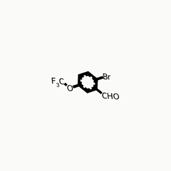 O=Cc1cc(OC(F)(F)F)ccc1Br